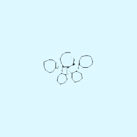 C1CCCCC(N2C3CCCCCC3B3C4CCCCCC4N(C4CCCCCCCC4)C4CCCCCCCC2C34)CCC1